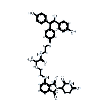 CCC(=C(c1ccc(O)cc1)c1ccc(OCCNC(=O)C(C)OCCNc2cccc3c2C(=O)N(C2CCC(=O)NC2=O)C3=O)cc1)c1ccc(O)cc1